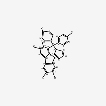 Cc1ccc(C(c2ccc(C)cc2)(c2c(C)c(C)cc3c2Cc2cc(C)c(C)cc2-3)C2C=CC=C2)cc1